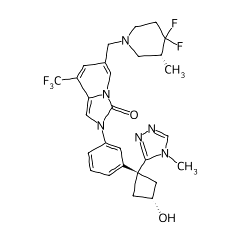 C[C@@H]1CN(Cc2cc(C(F)(F)F)c3cn(-c4cccc([C@]5(c6nncn6C)C[C@@H](O)C5)c4)c(=O)n3c2)CCC1(F)F